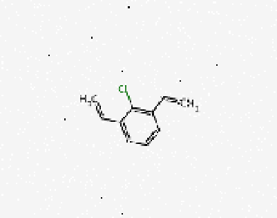 C=[C]c1cccc(C=C)c1Cl